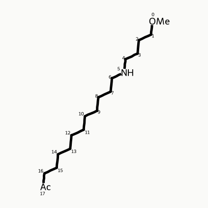 COCCCCNCCCCCCCCCCCC(C)=O